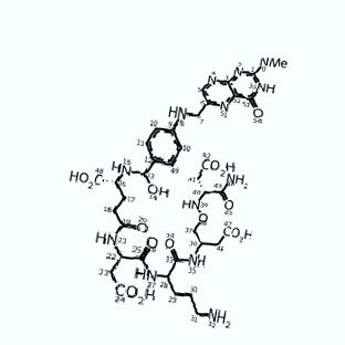 CNc1nc2ncc(CNc3ccc(C(O)N[C@H](CCC(=O)N[C@H](CC(=O)O)C(=O)NC(CCCN)C(=O)N[C@@H](CON[C@H](CC(=O)O)C(N)=O)CC(=O)O)C(=O)O)cc3)nc2c(=O)[nH]1